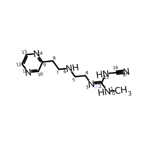 CN/C(=N/CCNCCc1cnccn1)NC#N